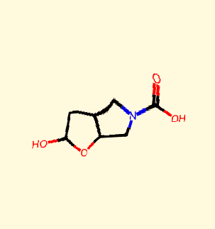 O=C(O)N1CC2CC(O)OC2C1